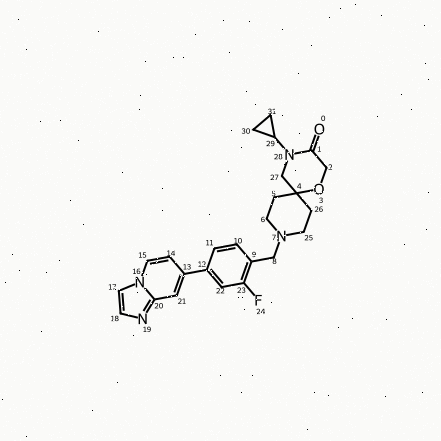 O=C1COC2(CCN(Cc3ccc(-c4ccn5ccnc5c4)cc3F)CC2)CN1C1CC1